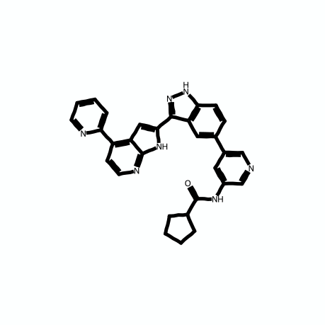 O=C(Nc1cncc(-c2ccc3[nH]nc(-c4cc5c(-c6ccccn6)ccnc5[nH]4)c3c2)c1)C1CCCC1